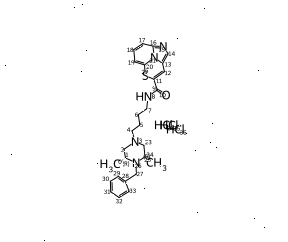 C[C@@H]1CN(CCCCNC(=O)C2=Cc3cnc4cccc(n34)S2)C[C@H](C)N1Cc1ccccc1.Cl.Cl.Cl